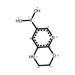 OB(O)c1cnc2c(c1)NCCO2